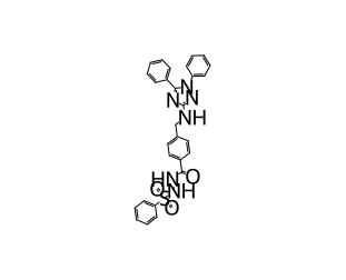 O=C(NNS(=O)(=O)c1ccccc1)c1ccc(CNc2nc(-c3ccccc3)n(-c3ccccc3)n2)cc1